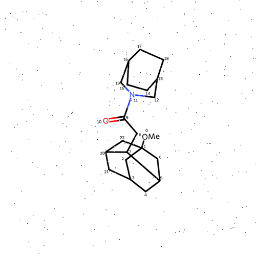 COC12CC3CC(C1)C(CC(=O)N1CC4CCC(CC4)C1)C(C3)C2